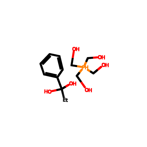 CCC(O)(O)c1ccccc1.OC[PH](CO)(CO)CO